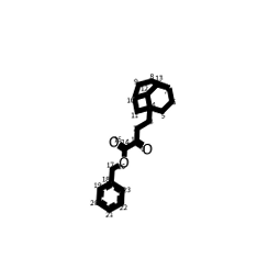 O=C(CCC12CCC3CCC(C1)C2C3)C(=O)OCc1ccccc1